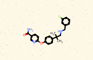 CC(C)(CNCc1cccc(F)c1)c1ccc(Oc2ccc(C(N)=O)cn2)cc1